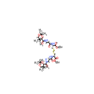 CC(C)(C)OC(=O)[C@H](CSSC[C@H](NC(=O)CCNC(=O)[C@@H]1OC(C)(C)OCC1(C)C)C(=O)OC(C)(C)C)NC(=O)CCNC(=O)[C@@H]1OC(C)(C)OCC1(C)C